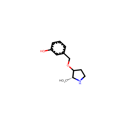 O=C(O)[C@H]1NCCC1OCc1cccc(O)c1